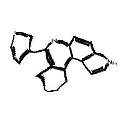 c1cncc(-c2nc3ccc4[nH]ccc4c3c3c2CCCC3)c1